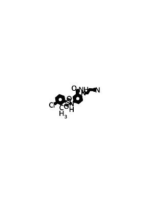 Cc1c(Cl)cccc1S(=O)(=O)Nc1ccc2c(c1)c(=O)[nH]n2CCC#N